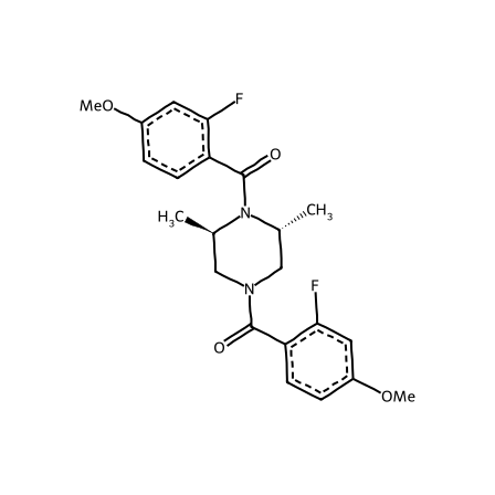 COc1ccc(C(=O)N2C[C@@H](C)N(C(=O)c3ccc(OC)cc3F)[C@H](C)C2)c(F)c1